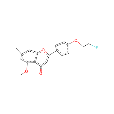 COc1cc(C)cc2oc(-c3ccc(OCCF)cc3)cc(=O)c12